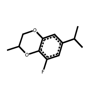 CC1COc2cc(C(C)C)cc(F)c2O1